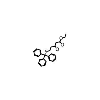 CCOC(=O)CC(=O)CCSC(c1ccccc1)(c1ccccc1)c1ccccc1